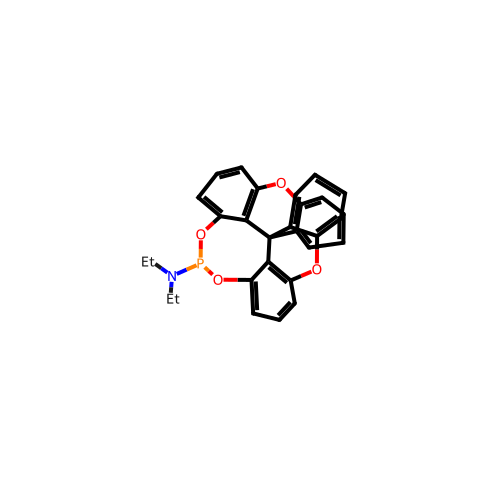 CCN(CC)P1Oc2cccc3c2C2(c4ccccc4O3)c3ccccc3Oc3cccc(c32)O1